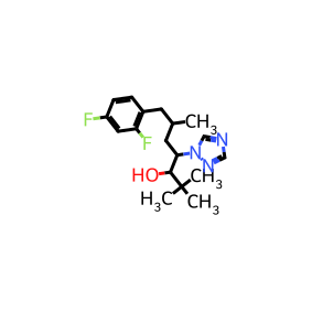 CC(Cc1ccc(F)cc1F)CC(C(O)C(C)(C)C)n1cncn1